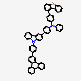 c1ccc(N(c2ccc(-c3ccc4c(c3)c3ccccc3n4-c3ccc(-c4ccc5c6ccccc6c6ccccc6c5c4)cc3)cc2)c2ccc(-c3cccc4sc5ccccc5c34)cc2)cc1